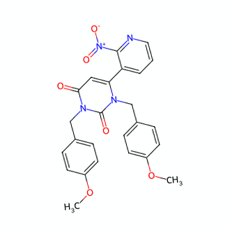 COc1ccc(Cn2c(-c3cccnc3[N+](=O)[O-])cc(=O)n(Cc3ccc(OC)cc3)c2=O)cc1